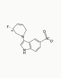 O=[N+]([O-])c1ccc2[nH]cc(N3CC=C[C@@H](F)C3)c2c1